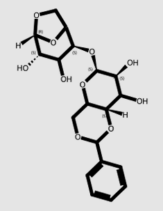 OC1[C@H](O[C@@H]2OC3COC(c4ccccc4)O[C@H]3C(O)[C@@H]2O)C2CO[C@H](O2)[C@H]1O